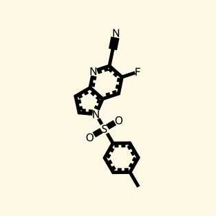 Cc1ccc(S(=O)(=O)n2ccc3nc(C#N)c(F)cc32)cc1